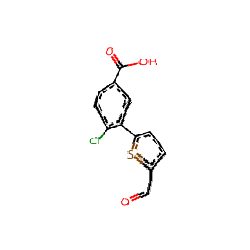 O=Cc1ccc(-c2cc(C(=O)O)ccc2Cl)s1